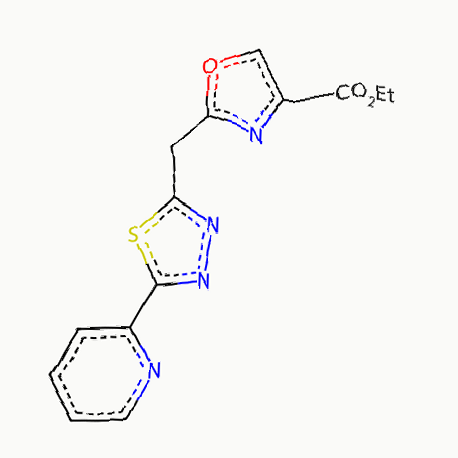 CCOC(=O)c1coc(Cc2nnc(-c3ccccn3)s2)n1